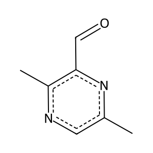 Cc1cnc(C)c(C=O)n1